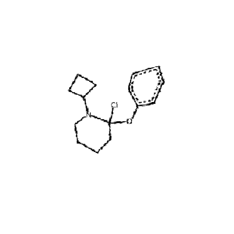 ClC1(Oc2ccccc2)CCCCN1C1CCC1